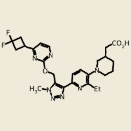 CCc1nc(-c2nnn(C)c2COc2nccc(C3CC(F)(F)C3)n2)ccc1N1CCCC(CC(=O)O)C1